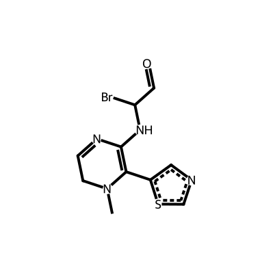 CN1CC=NC(NC(Br)C=O)=C1c1cncs1